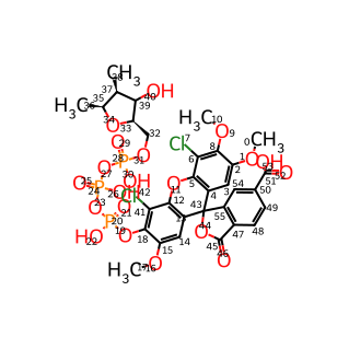 COc1cc2c(c(Cl)c1OC)Oc1c(cc(OC)c(OP(=O)(O)OP(=O)(O)OP(=O)(O)OC[C@H]3O[C@@H](C)[C@@H](C)C3O)c1Cl)C21OC(=O)c2ccc(C(=O)O)cc21